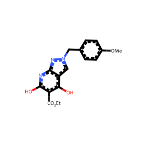 CCOC(=O)c1c(O)nc2nn(Cc3ccc(OC)cc3)cc2c1O